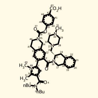 CCCCN(CCCC)C(=O)c1cc(-c2cc3c(cc2C(=O)N2Cc4ccccc4C[C@H]2CN2CCN(C)CC2)CN(C(=O)Oc2ccc(C(=O)O)cc2)CC3)n(C)c1C